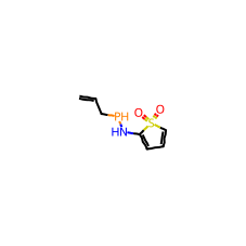 C=CCPNC1=CC=CS1(=O)=O